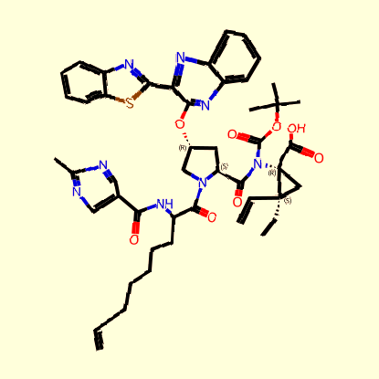 C=CCCCCCC(NC(=O)c1cnc(C)nc1)C(=O)N1C[C@H](Oc2nc3ccccc3nc2-c2nc3ccccc3s2)C[C@H]1C(=O)N(C(=O)OC(C)(C)C)[C@]1(C(=O)O)C[C@]1(C=C)CC